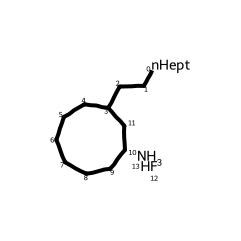 CCCCCCCCCC1CCCCCCCC1.F.N